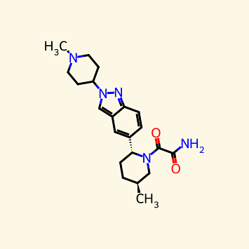 C[C@H]1CC[C@H](c2ccc3nn(C4CCN(C)CC4)cc3c2)N(C(=O)C(N)=O)C1